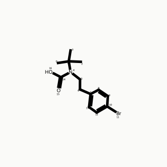 CC(C)(C)N(CCc1ccc(Br)cc1)C(=O)O